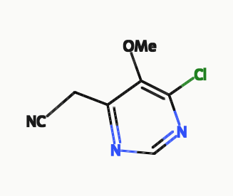 COc1c(Cl)ncnc1CC#N